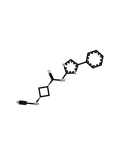 N#CN[C@H]1C[C@@H](C(=O)Nc2ncc(-c3ccccc3)s2)C1